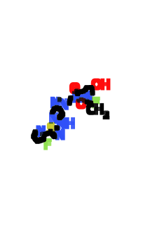 C=C(F)C(=O)N1CC(O)CC1C(=O)NCCn1cnc2cnc(Nc3ncc(-c4ncccc4F)s3)cc21